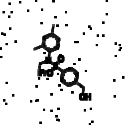 Cc1ccc(N(CC(C)C)S(=O)(=O)c2ccc(CO)cc2)c(C)c1